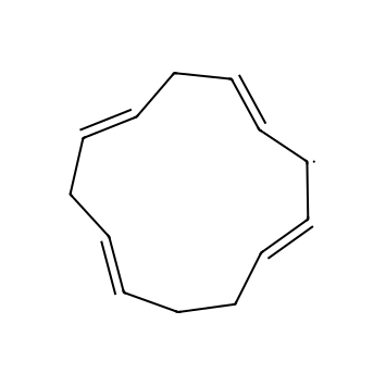 [CH]1/C=C/C/C=C/C/C=C/CC/C=C/1